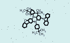 CC(C)(C)c1ccc(N2c3cc4c(cc3B3c5cc(C(C)(C)C)ccc5C(C)(C)c5cc(-n6c7ccccc7c7ccccc76)cc2c53)oc2ccccc24)cc1